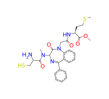 COC(=O)[C@H](CCSC)NC(=O)CN1C(=O)C(N(C)C(=O)C(N)CS)N=C(c2ccccc2)c2ccccc21